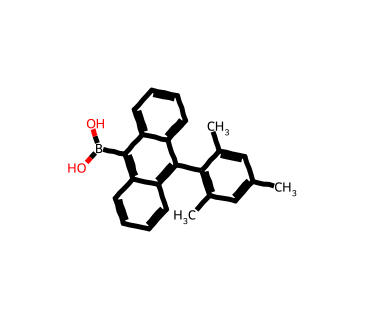 Cc1cc(C)c(-c2c3ccccc3c(B(O)O)c3ccccc23)c(C)c1